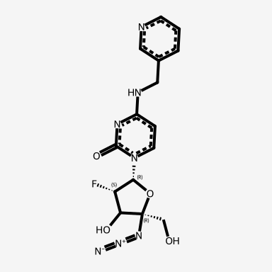 [N-]=[N+]=N[C@]1(CO)O[C@@H](n2ccc(NCc3cccnc3)nc2=O)[C@@H](F)C1O